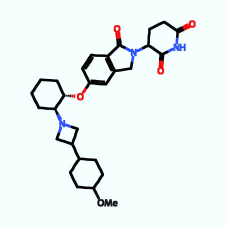 COC1CCC(C2CN([C@H]3CCCC[C@@H]3Oc3ccc4c(c3)CN(C3CCC(=O)NC3=O)C4=O)C2)CC1